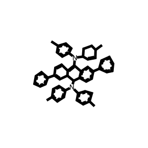 Cc1ccc(N(C2=C3C=CC(c4ccccc4)=CC3C(N(c3ccc(C)cc3)c3ccc(C)cc3)c3ccc(-c4ccccc4)cc32)C2C=CC(C)CC2)cc1